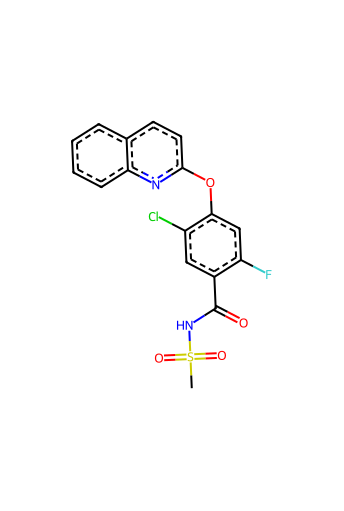 CS(=O)(=O)NC(=O)c1cc(Cl)c(Oc2ccc3ccccc3n2)cc1F